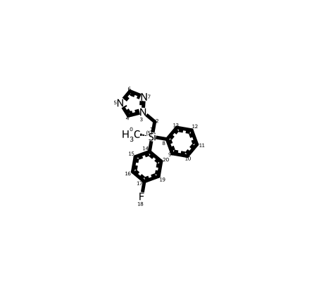 C[Si@](Cn1cncn1)(c1ccccc1)c1ccc(F)cc1